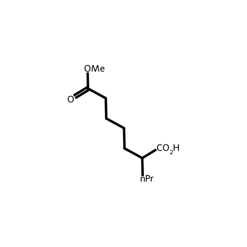 CCCC(CCCCC(=O)OC)C(=O)O